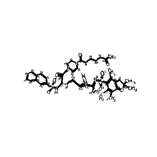 Cc1c(C)c(S(=O)(=O)/N=C(\N)NCCC[C@H](NS(=O)(=O)c2ccc3ccccc3c2)C(=O)N2CCN(C(=O)CCCCC(=O)O)CC2)c(C)c2c1OC(C)(C)C2